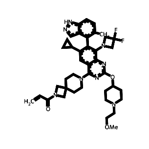 C=CC(=O)N1CC2(CCN(c3nc(OC4CCN(CCOC)CC4)nc4c(N5CC(F)(F)C5)c(-c5c(C)ccc6[nH]ncc56)c(C5CC5)cc34)CC2)C1